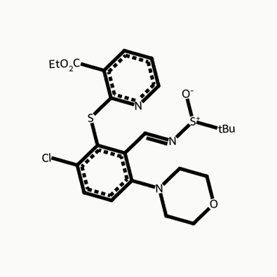 CCOC(=O)c1cccnc1Sc1c(Cl)ccc(N2CCOCC2)c1/C=N/[S+]([O-])C(C)(C)C